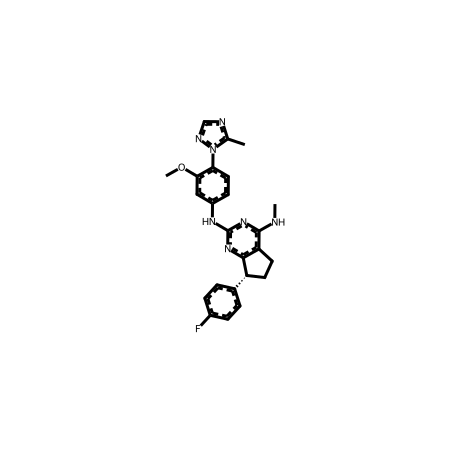 CNc1nc(Nc2ccc(-n3ncnc3C)c(OC)c2)nc2c1CC[C@@H]2c1ccc(F)cc1